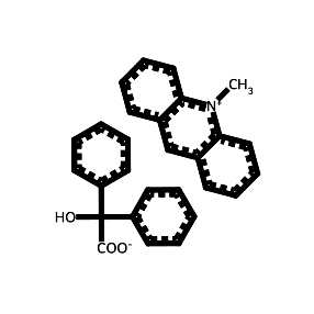 C[n+]1c2ccccc2cc2ccccc21.O=C([O-])C(O)(c1ccccc1)c1ccccc1